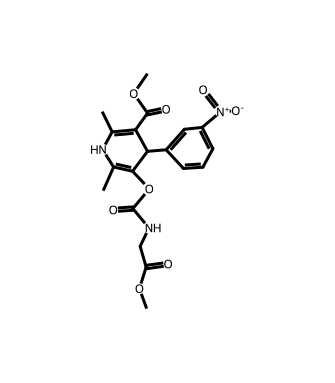 COC(=O)CNC(=O)OC1=C(C)NC(C)=C(C(=O)OC)C1c1cccc([N+](=O)[O-])c1